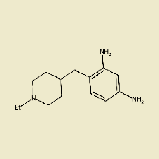 CCN1CCC(Cc2ccc(N)cc2N)CC1